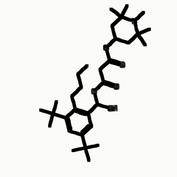 CCCCc1c(C(O)OC(=O)CC(=O)OC2CC(C)(C)N(C)C(C)(C)C2)cc(C(C)(C)C)cc1C(C)(C)C